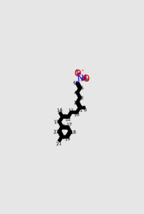 CC(=CCCC=C[N+](=O)[O-])CCC=C(C)Cc1cccc(C)c1